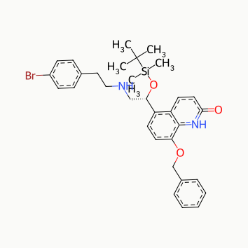 CC(C)(C)[Si](C)(C)O[C@@H](CNCCc1ccc(Br)cc1)c1ccc(OCc2ccccc2)c2[nH]c(=O)ccc12